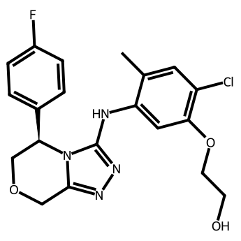 Cc1cc(Cl)c(OCCO)cc1Nc1nnc2n1[C@H](c1ccc(F)cc1)COC2